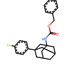 O=C(NC12CC3CC(C1)CC(c1ccc(F)cc1)(C3)C2)OCc1ccccc1